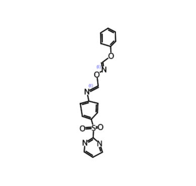 O=S(=O)(c1ccc(/N=C/O/N=C/Oc2ccccc2)cc1)c1ncccn1